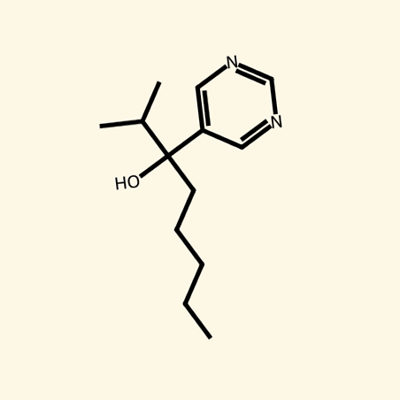 CCCCCC(O)(c1cncnc1)C(C)C